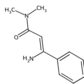 CN(C)C(=O)C=C(N)c1ccccc1